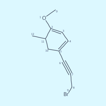 COC1=CC=C(C#CCBr)CC1C